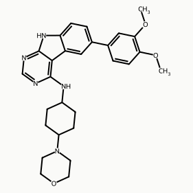 COc1ccc(-c2ccc3[nH]c4ncnc(NC5CCC(N6CCOCC6)CC5)c4c3c2)cc1OC